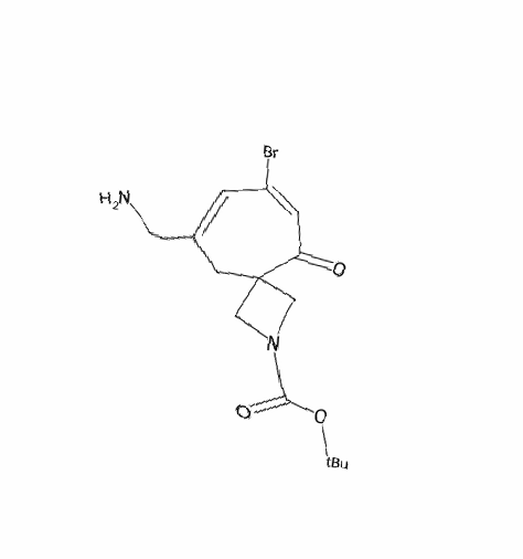 CC(C)(C)OC(=O)N1CC2(CC(CN)=CC(Br)=CC2=O)C1